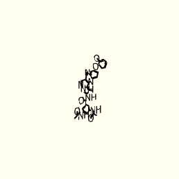 COc1ccccc1Oc1ccc(Nc2c(C#N)cnn3cc(NC(=O)c4cc(NC(C)=O)cc(NC(C)=O)c4)c(C)c23)cc1